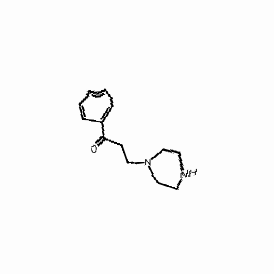 O=C(CCN1CCNCC1)c1ccccc1